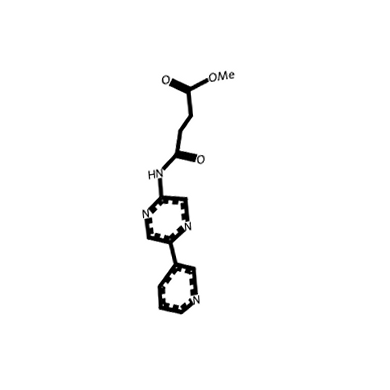 COC(=O)CCC(=O)Nc1cnc(-c2cccnc2)cn1